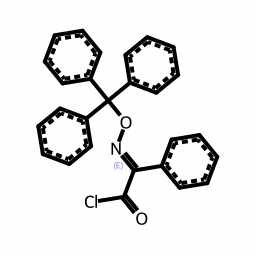 O=C(Cl)/C(=N/OC(c1ccccc1)(c1ccccc1)c1ccccc1)c1ccccc1